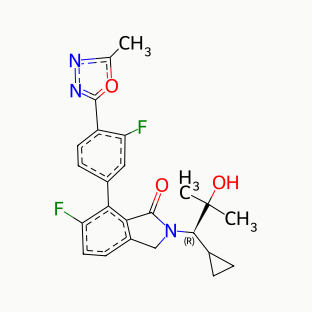 Cc1nnc(-c2ccc(-c3c(F)ccc4c3C(=O)N([C@H](C3CC3)C(C)(C)O)C4)cc2F)o1